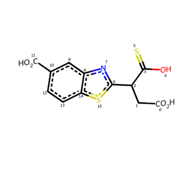 O=C(O)CC(C(O)=S)c1nc2cc(C(=O)O)ccc2s1